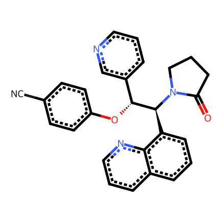 N#Cc1ccc(O[C@H](c2cccnc2)[C@H](c2cccc3cccnc23)N2CCCC2=O)cc1